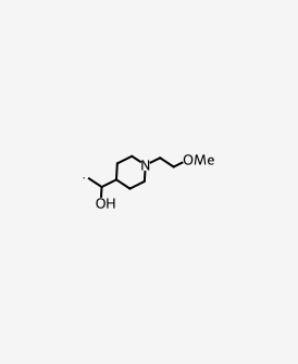 [CH2]C(O)C1CCN(CCOC)CC1